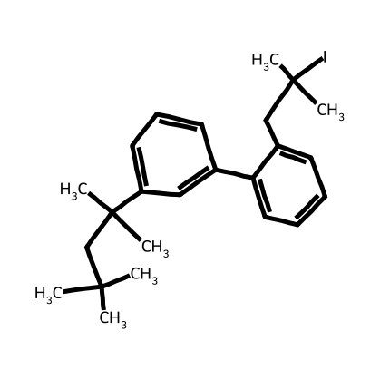 CC(C)(C)CC(C)(C)c1cccc(-c2ccccc2CC(C)(C)I)c1